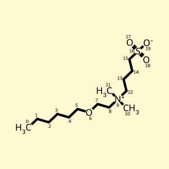 CCCCCCOCC[N+](C)(C)CCCCS(=O)(=O)[O-]